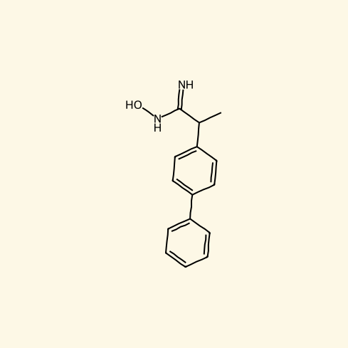 CC(C(=N)NO)c1ccc(-c2ccccc2)cc1